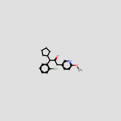 COc1ccc(CC(=O)C(c2ccccc2Cl)C2CCCC2)cn1